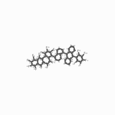 Fc1c(F)c(F)c(-c2c3ccccc3c(-c3cccc4c(-c5c(F)c(F)c(F)c6c5c(F)c(F)c5c(F)c7c(F)c(F)c(F)c(F)c7c(F)c56)cccc34)c3ccccc23)c(F)c1F